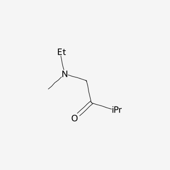 CCN(C)CC(=O)C(C)C